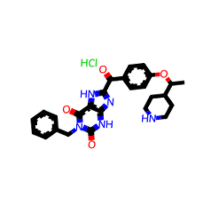 CC(Oc1ccc(C(=O)c2nc3[nH]c(=O)n(Cc4ccccc4)c(=O)c3[nH]2)cc1)C1CCNCC1.Cl